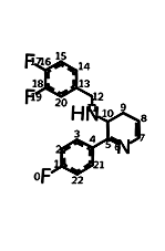 Fc1ccc(C2=NC=CCC2NCc2ccc(F)c(F)c2)cc1